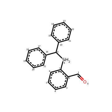 O=Cc1ccccc1[SiH2]C(c1ccccc1)c1ccccc1